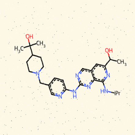 CC(C)Nc1nc(C(C)O)cc2cnc(Nc3ccc(CN4CCC(C(C)(C)O)CC4)cn3)nc12